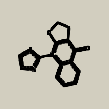 O=c1c2c(n(-c3nccs3)c3ccccc13)OCC2